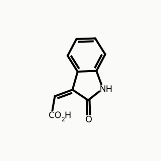 O=C(O)C=C1C(=O)Nc2ccccc21